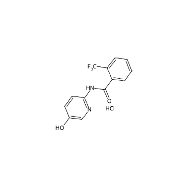 Cl.O=C(Nc1ccc(O)cn1)c1ccccc1C(F)(F)F